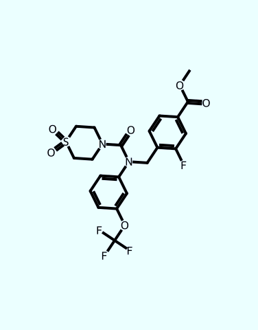 COC(=O)c1ccc(CN(C(=O)N2CCS(=O)(=O)CC2)c2cccc(OC(F)(F)F)c2)c(F)c1